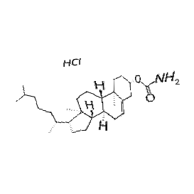 CC(C)CCC[C@@H](C)[C@H]1CC[C@H]2[C@@H]3CC=C4C[C@@H](OC(N)=O)CC[C@]4(C)[C@H]3CC[C@]12C.Cl